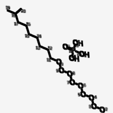 C=COOOOOOOOOCCCCCCCC(C)C.O=P(O)(O)O